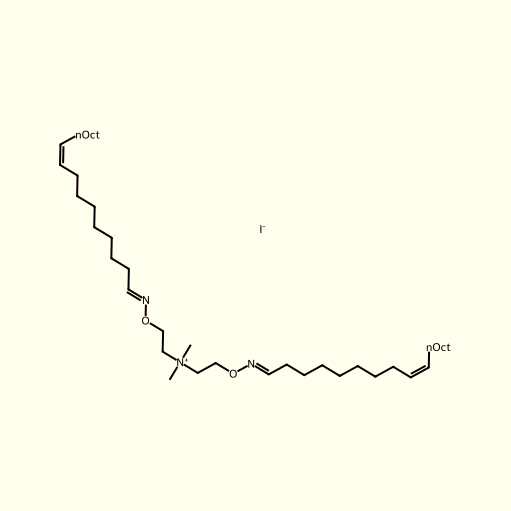 CCCCCCCC/C=C\CCCCCCCC=NOCC[N+](C)(C)CCON=CCCCCCCC/C=C\CCCCCCCC.[I-]